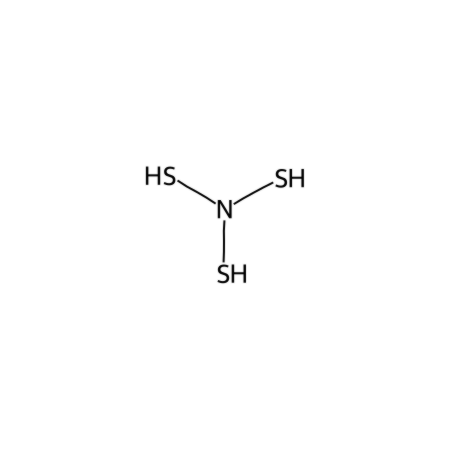 SN(S)S